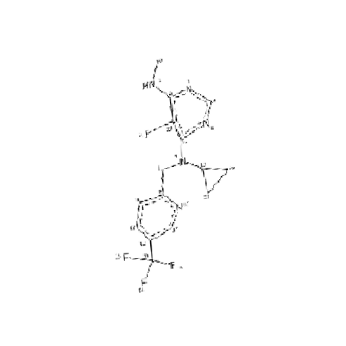 CNc1ncnc(N(Cc2ccc(C(F)(F)F)cn2)C2CC2)c1F